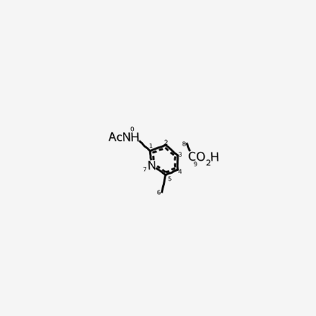 CC(=O)Nc1cccc(C)n1.CC(=O)O